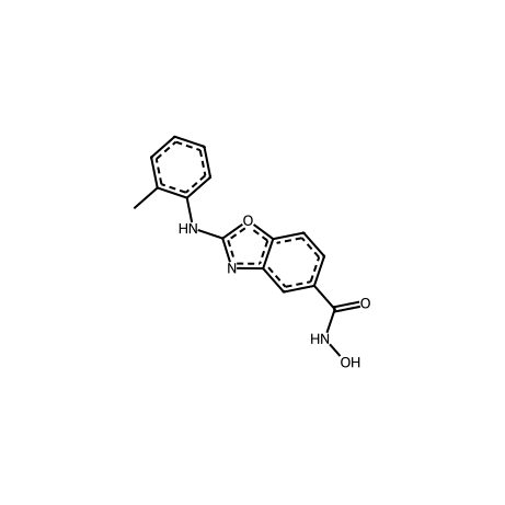 Cc1ccccc1Nc1nc2cc(C(=O)NO)ccc2o1